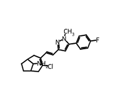 Cn1nc(C=CC2=C(Cl)CC3CCC(C2)C3N)cc1-c1ccc(F)cc1